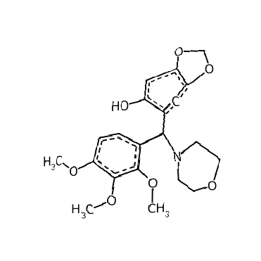 COc1ccc(C(c2cc3c(cc2O)OCO3)N2CCOCC2)c(OC)c1OC